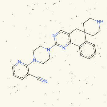 N#Cc1cccnc1N1CCN(c2ncc3c(n2)-c2ccccc2C2(CCNCC2)C3)CC1